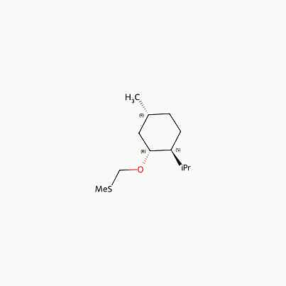 CSCO[C@@H]1C[C@H](C)CC[C@H]1C(C)C